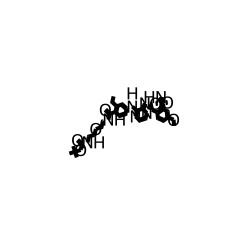 CCc1cc(Nc2nccn3c(-c4ccc(OC)cc4S(=O)(=O)NC)cnc23)ccc1C(=O)NCCOCCNC(=O)OC(C)(C)C